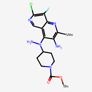 CSc1nc2c(F)c(Cl)ncc2c(N(N)C2CCN(C(=O)OC(C)(C)C)CC2)c1N